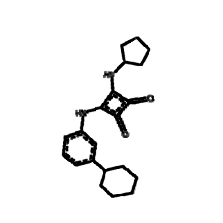 O=c1c(Nc2cccc(C3CCCCC3)c2)c(NC2CCCC2)c1=O